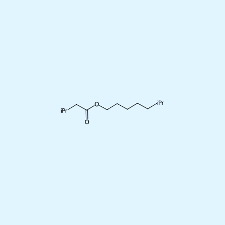 CC(C)CCCCCOC(=O)CC(C)C